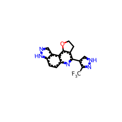 FC(F)(F)c1n[nH]cc1-c1nc2ccc3[nH]ncc3c2c2c1CCO2